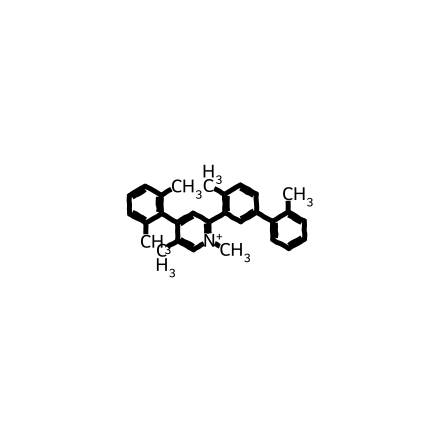 Cc1ccccc1-c1ccc(C)c(-c2cc(-c3c(C)cccc3C)c(C)c[n+]2C)c1